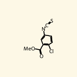 COC(=O)c1cc(N=C=S)ccc1Cl